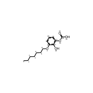 CCCCCCCOc1cccc(OC(=O)O)c1O